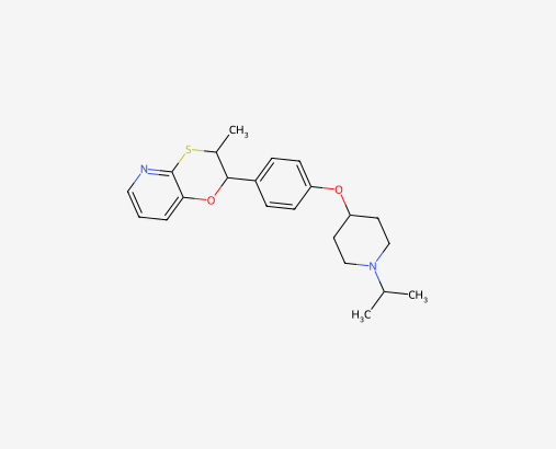 CC1Sc2ncccc2OC1c1ccc(OC2CCN(C(C)C)CC2)cc1